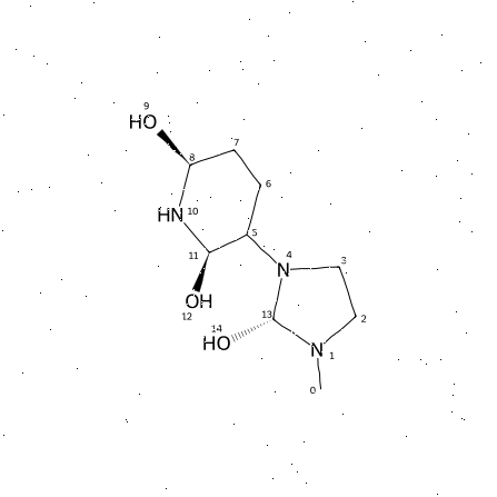 CN1CCN(C2CC[C@H](O)N[C@@H]2O)[C@H]1O